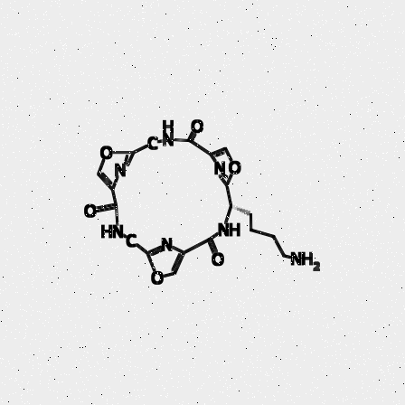 NCCCC[C@@H]1NC(=O)c2coc(n2)CNC(=O)c2coc(n2)CNC(=O)c2coc1n2